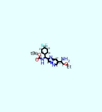 CCOCC(N)c1cnn2cc(C(NC(=O)OC(C)(C)C)C3CCC(F)(F)CC3)nc2c1